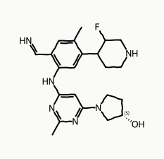 Cc1nc(Nc2cc(C3CCNCC3F)c(C)cc2C=N)cc(N2CC[C@H](O)C2)n1